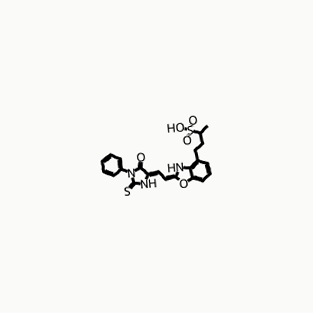 CC(CCc1cccc2c1NC(=CC=C1NC(=S)N(c3ccccc3)C1=O)O2)S(=O)(=O)O